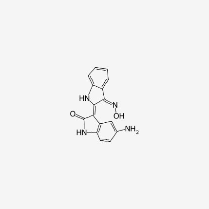 Nc1ccc2c(c1)/C(=C1/Nc3ccccc3/C1=N/O)C(=O)N2